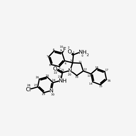 NC(=O)C1(c2ccccc2F)CC(c2ccccc2)CN1C(=O)Nc1ccc(Cl)cn1